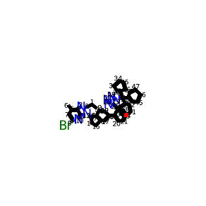 CCc1nc2c(C)cc(Br)nc2n1[C@H]1CCc2cc(-c3ccccc3-c3nnnn3C(c3ccccc3)(c3ccccc3)c3ccccc3)ccc21